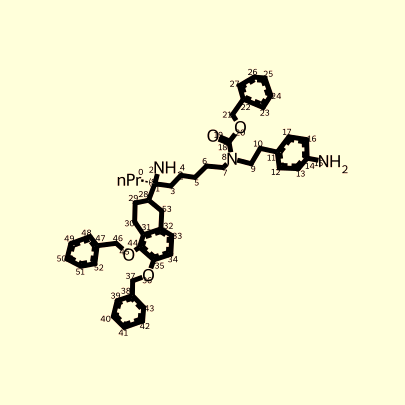 CCC[C@](N)(CCCCCN(CCc1ccc(N)cc1)C(=O)OCc1ccccc1)C1CCc2c(ccc(OCc3ccccc3)c2OCc2ccccc2)C1